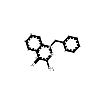 Nc1nn(Cc2ccccc2)c2ccccc2c1=O